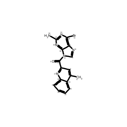 Cc1cc(C(=O)n2cnc3c(Br)nc(N)nc32)nc2ccccc12